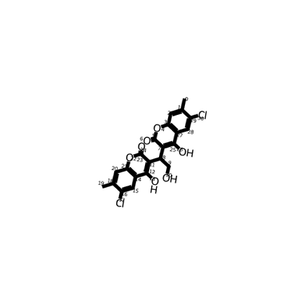 Cc1cc2oc(=O)c(C(CO)c3c(O)c4cc(Cl)c(C)cc4oc3=O)c(O)c2cc1Cl